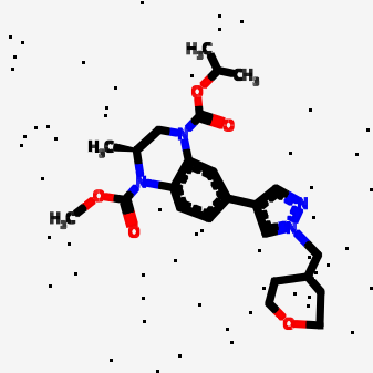 COC(=O)N1c2ccc(-c3cnn(CC4CCOCC4)c3)cc2N(C(=O)OC(C)C)C[C@@H]1C